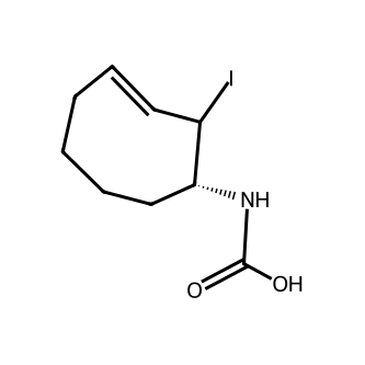 O=C(O)N[C@@H]1CCCC/C=C/C1I